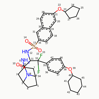 NC1CC2CCC(C1)N2C(=O)C(NS(=O)(=O)c1ccc2cc(OC3CCCC3)ccc2c1)C(F)(F)c1ccc(OC2CCCCC2)cc1